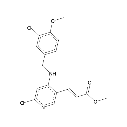 COC(=O)C=Cc1cnc(Cl)cc1NCc1ccc(OC)c(Cl)c1